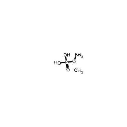 BOP(=O)(O)O.O